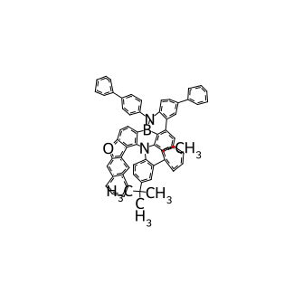 Cc1cc2c3c(c1)N(c1ccc(C(C)(C)C)cc1-c1ccccc1)c1c(ccc4oc5cc6ccccc6cc5c14)B3N(c1ccc(-c3ccccc3)cc1)c1ccc(-c3ccccc3)cc1-2